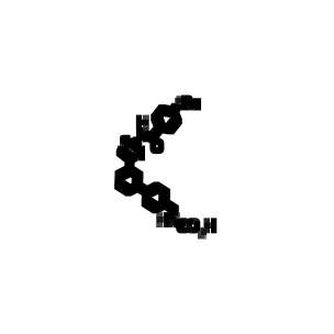 CC(C)(C)c1ccc(C(=O)Nc2nc(-c3cccc(-c4ccc(CNC(=O)O)cc4)c3)cs2)cc1